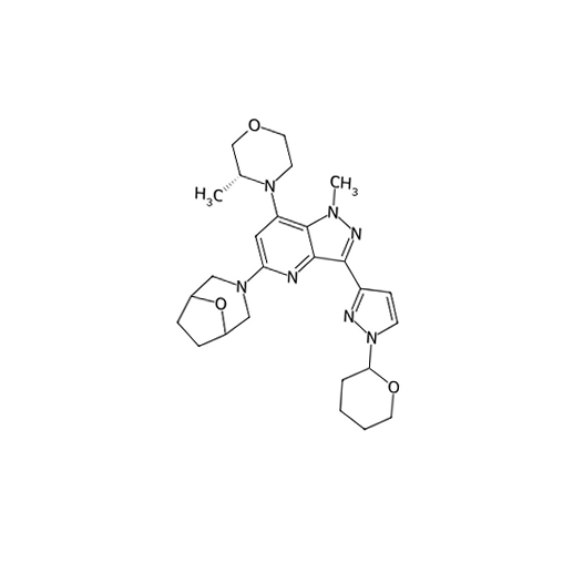 C[C@@H]1COCCN1c1cc(N2CC3CCC(C2)O3)nc2c(-c3ccn(C4CCCCO4)n3)nn(C)c12